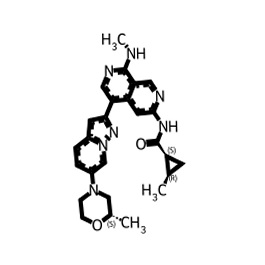 CNc1ncc(-c2cc3ccc(N4CCO[C@@H](C)C4)cn3n2)c2cc(NC(=O)[C@H]3C[C@H]3C)ncc12